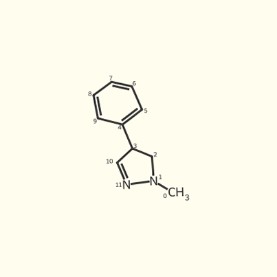 CN1CC(c2ccccc2)C=N1